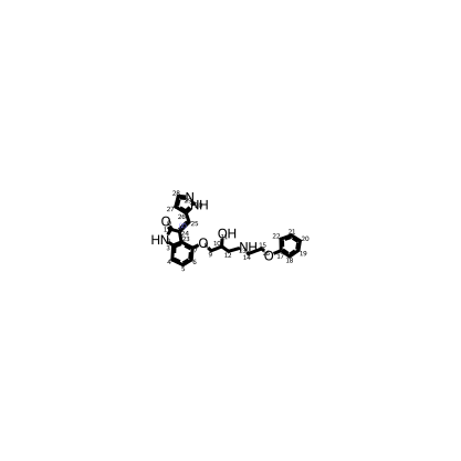 O=C1Nc2cccc(OCC(O)CNCCOc3ccccc3)c2/C1=C/c1ccn[nH]1